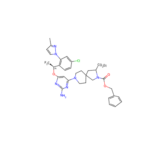 CCOC(=O)C1CC2(CCN(c3cc(O[C@H](c4ccc(Cl)cc4-n4ccc(C)n4)C(F)(F)F)nc(N)n3)CC2)CN1C(=O)OCc1ccccc1